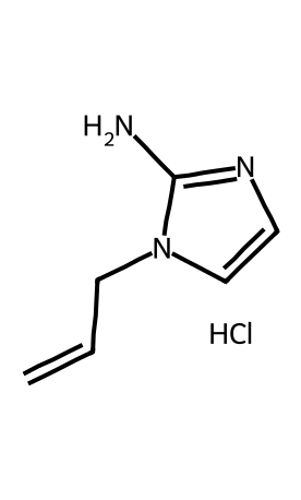 C=CCn1ccnc1N.Cl